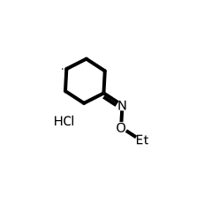 CCON=C1CC[CH]CC1.Cl